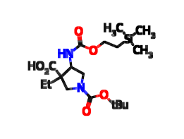 CCC1(C(=O)O)CN(C(=O)OC(C)(C)C)CC1NC(=O)OCC[Si](C)(C)C